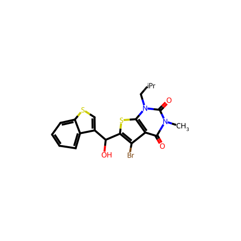 CC(C)Cn1c(=O)n(C)c(=O)c2c(Br)c(C(O)c3csc4ccccc34)sc21